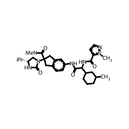 CNC(=O)C1(N2C[C@@H](C(C)C)NC2=O)Cc2ccc(NC(=O)C(NC(=O)c3ccnn3C)C3CCCC(C)C3)cc2C1